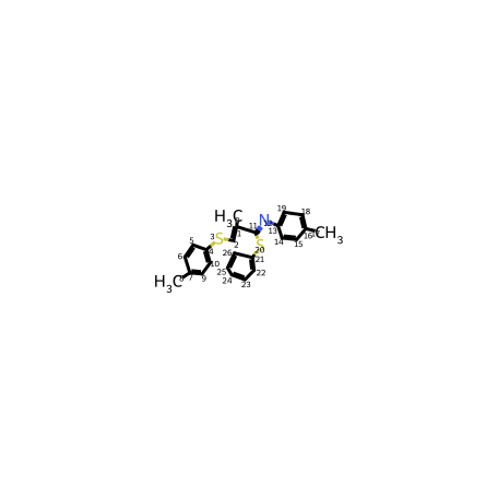 CC(=C\Sc1ccc(C)cc1)/C(=N/c1ccc(C)cc1)Sc1ccccc1